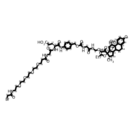 CCC(=O)O[C@]1(C(=O)COCNC(=O)CNC(=O)OCc2ccc(NC(=O)[C@H](CCC(=O)O)NC(=O)CNC(=O)CCOCCOCCOCCOCCNC(=O)CBr)cc2)[C@@H](C)CC2C3CCC4=CC(=O)C=C[C@]4(C)[C@@]3(Cl)[C@@H](O)C[C@@]21C